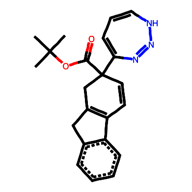 CC(C)(C)OC(=O)C1(C2=CC=CNN=N2)C=CC2=C(Cc3ccccc32)C1